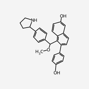 COC(c1ccc(C2CCCN2)cc1)c1c(-c2ccc(O)cc2)ccc2cc(O)ccc12